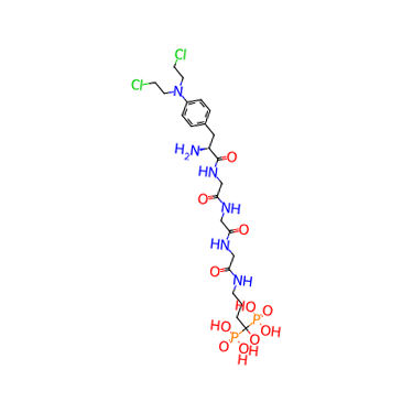 N[C@@H](Cc1ccc(N(CCCl)CCCl)cc1)C(=O)NCC(=O)NCC(=O)NCC(=O)NCCCC(O)(P(=O)(O)O)P(=O)(O)O